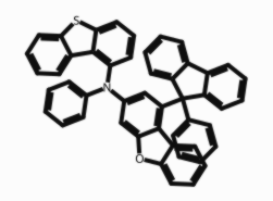 c1ccc(N(c2cc(C3(c4ccccc4)c4ccccc4-c4ccccc43)c3c(c2)oc2ccccc23)c2cccc3sc4ccccc4c23)cc1